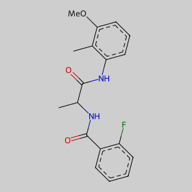 COc1cccc(NC(=O)C(C)NC(=O)c2ccccc2F)c1C